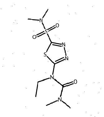 CCN(C(=O)N(C)C)c1nnc(S(=O)(=O)N(C)C)s1